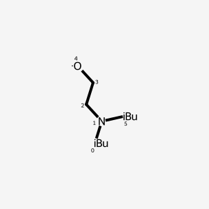 CCC(C)N(CC[O])C(C)CC